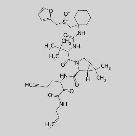 C#CCCC(NC(=O)[C@@H]1[C@@H]2C(CN1C(=O)[C@@H](NC(=O)NC1(C[S+]([O-])Cc3ccco3)CCCCC1)C(C)(C)C)C2(C)C)C(=O)C(=O)NCC=C